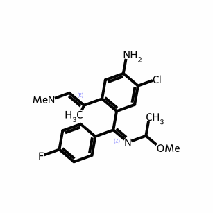 CN/C=C(\C)c1cc(N)c(Cl)cc1/C(=N\C(C)OC)c1ccc(F)cc1